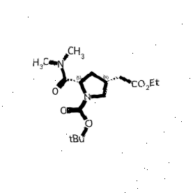 CCOC(=O)C[C@H]1C[C@@H](C(=O)N(C)C)N(C(=O)OC(C)(C)C)C1